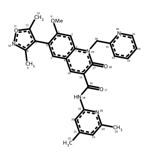 COc1cc2c(cc1-c1c(C)noc1C)cc(C(=O)Nc1cc(C)cc(C)n1)c(=O)n2Cc1ccccn1